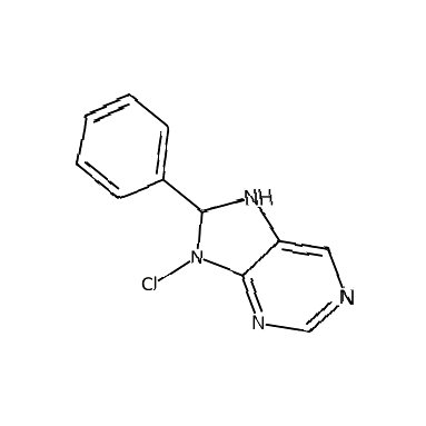 ClN1c2ncncc2NC1c1ccccc1